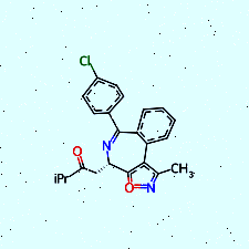 Cc1noc2c1-c1ccccc1C(c1ccc(Cl)cc1)=N[C@H]2CC(=O)C(C)C